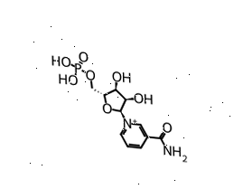 NC(=O)c1ccc[n+]([C@H]2O[C@H](COP(=O)(O)O)[C@@H](O)[C@H]2O)c1